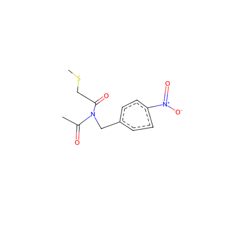 CSCC(=O)N(Cc1ccc([N+](=O)[O-])cc1)C(C)=O